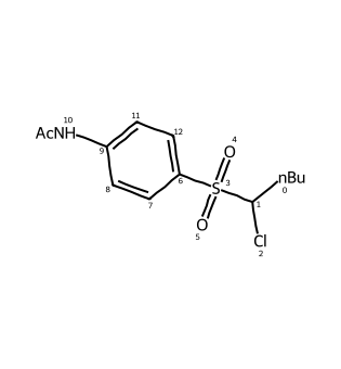 CCCCC(Cl)S(=O)(=O)c1ccc(NC(C)=O)cc1